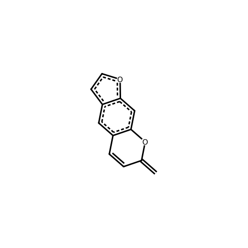 C=C1C=Cc2cc3ccoc3cc2O1